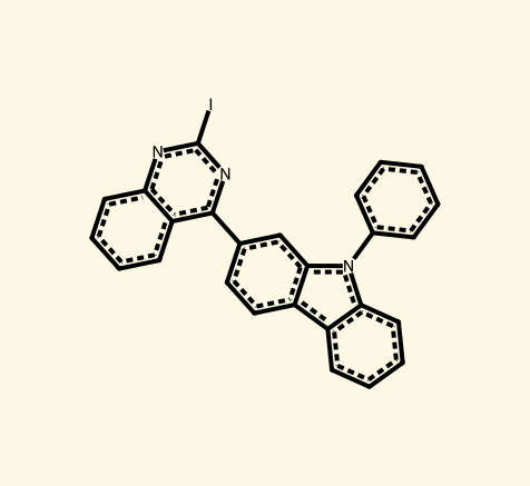 Ic1nc(-c2ccc3c4ccccc4n(-c4ccccc4)c3c2)c2ccccc2n1